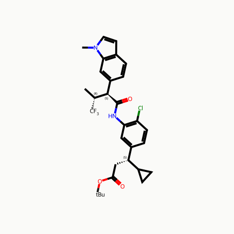 C[C@H]([C@H](C(=O)Nc1cc([C@@H](CC(=O)OC(C)(C)C)C2CC2)ccc1Cl)c1ccc2ccn(C)c2c1)C(F)(F)F